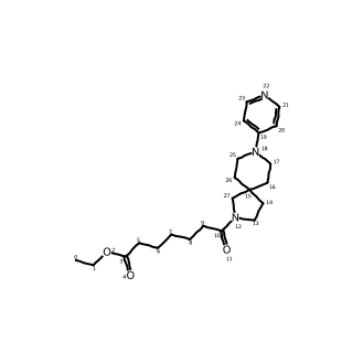 CCOC(=O)CCCCCC(=O)N1CCC2(CCN(c3ccncc3)CC2)C1